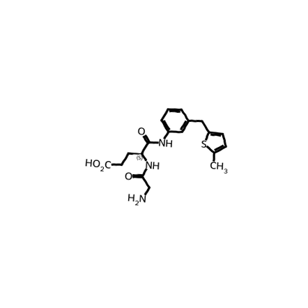 Cc1ccc(Cc2cccc(NC(=O)[C@H](CCC(=O)O)NC(=O)CN)c2)s1